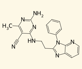 Cc1nc(N)nc(NCCc2nc3cccnc3n2-c2ccccc2)c1C#N